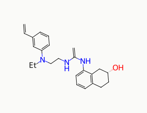 C=Cc1cccc(N(CC)CCNC(=C)Nc2cccc3c2C[C@H](O)CC3)c1